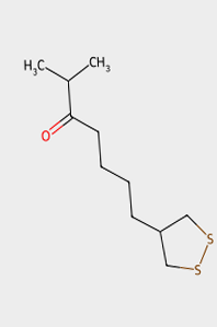 CC(C)C(=O)CCCCC1CSSC1